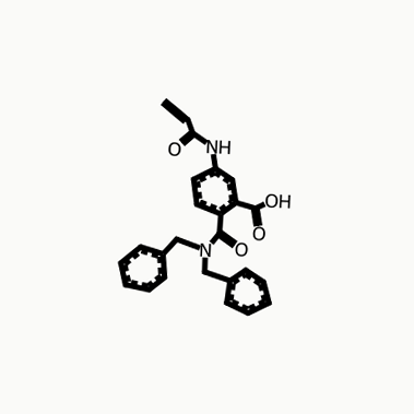 C=CC(=O)Nc1ccc(C(=O)N(Cc2ccccc2)Cc2ccccc2)c(C(=O)O)c1